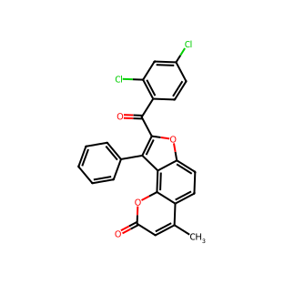 Cc1cc(=O)oc2c1ccc1oc(C(=O)c3ccc(Cl)cc3Cl)c(-c3ccccc3)c12